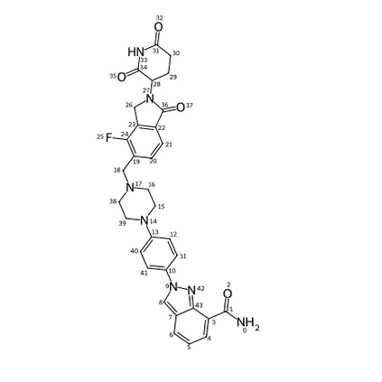 NC(=O)c1cccc2cn(-c3ccc(N4CCN(Cc5ccc6c(c5F)CN(C5CCC(=O)NC5=O)C6=O)CC4)cc3)nc12